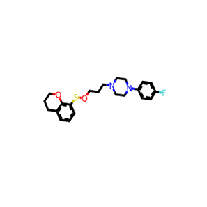 Fc1ccc(N2CCN(CCCOSc3cccc4c3OCCC4)CC2)cc1